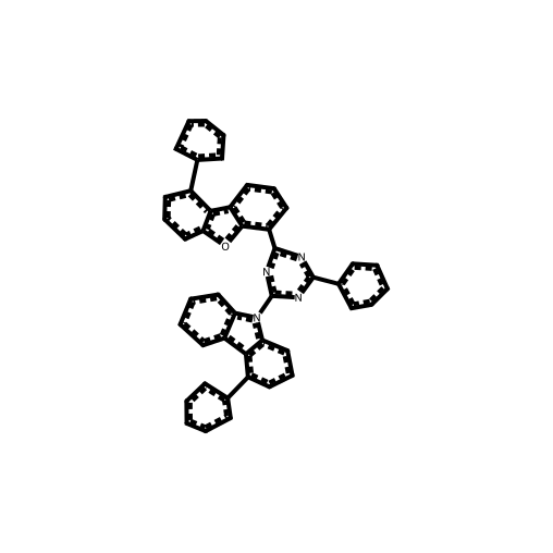 c1ccc(-c2nc(-c3cccc4c3oc3cccc(-c5ccccc5)c34)nc(-n3c4ccccc4c4c(-c5ccccc5)cccc43)n2)cc1